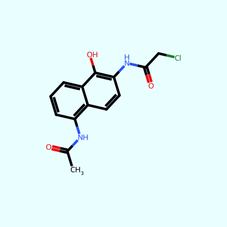 CC(=O)Nc1cccc2c(O)c(NC(=O)CCl)ccc12